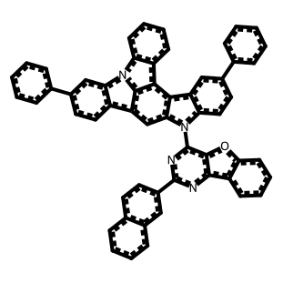 c1ccc(-c2ccc3c(c2)c2c4c5ccccc5n5c6cc(-c7ccccc7)ccc6c(cc2n3-c2nc(-c3ccc6ccccc6c3)nc3c2oc2ccccc23)c45)cc1